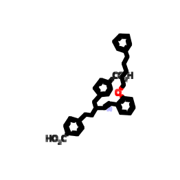 O=C(O)c1ccc(CCC(/C=C/c2ccccc2OCCCCCc2ccccc2)Cc2ccc(C(=O)O)cc2)cc1